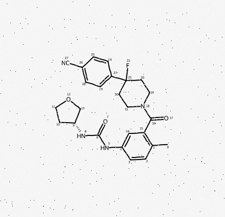 Cc1ccc(NC(=O)N[C@@H]2CCOC2)cc1C(=O)N1CCC(F)(c2ccc(C#N)cc2)CC1